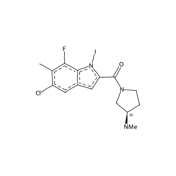 CN[C@@H]1CCN(C(=O)c2cc3cc(Cl)c(C)c(F)c3n2I)C1